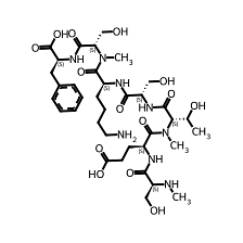 CN[C@@H](CO)C(=O)N[C@@H](CCC(=O)O)C(=O)N(C)[C@H](C(=O)N[C@@H](CO)C(=O)N[C@@H](CCCCN)C(=O)N(C)[C@@H](CO)C(=O)N[C@@H](Cc1ccccc1)C(=O)O)C(C)O